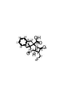 CC1(C)[S+]([O-])[C@@H]2[C@H](CF)C(=O)N2[C@@]1(Cc1ccccc1)C(=O)O